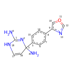 NC1=NC(N)(c2ccc(-c3cocn3)cc2)C=CN1